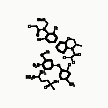 CC1COc2ccccc2N1C(=O)C(Cl)Cl.CCOc1cc(Oc2ccc(C(F)(F)F)cc2Cl)ccc1[N+](=O)[O-].CCc1cccc(CC)c1N(COC)C(=O)CCl.CP(=O)(O)CCC(N)C(=O)O